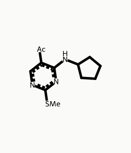 CSc1ncc(C(C)=O)c(NC2CCCC2)n1